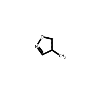 CC1[CH]ON=C1